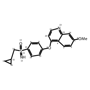 COc1ccc2c(Oc3ccc(S(=N)(=O)CC4CC4)cc3)ccnc2c1